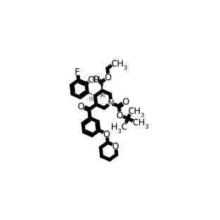 CCOC(=O)[C@H]1CN(C(=O)OC(C)(C)C)CC(C(=O)c2cccc(OC3CCCCO3)c2)[C@@H]1c1cccc(F)c1C